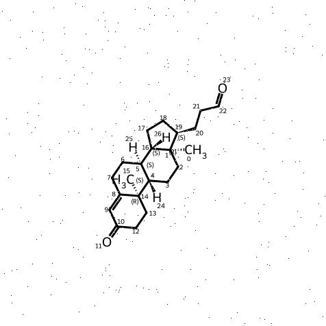 C[C@]12CC[C@H]3[C@@H](CCC4=CC(=O)CC[C@@]43C)[C@@H]1CC[C@H]2CCC=O